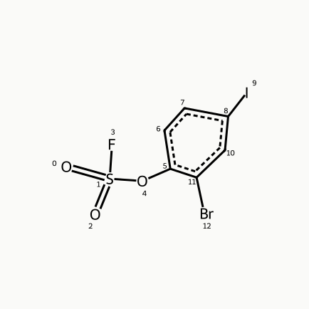 O=S(=O)(F)Oc1ccc(I)cc1Br